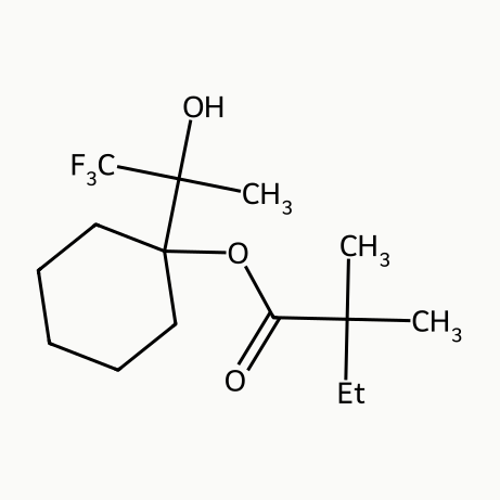 CCC(C)(C)C(=O)OC1(C(C)(O)C(F)(F)F)CCCCC1